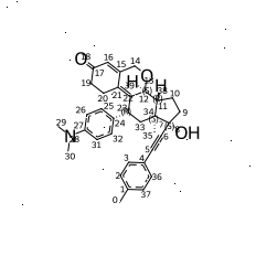 Cc1ccc(C#C[C@]2(O)CC[C@H]3[C@@H]4OCC5=CC(=O)CCC5=C4[C@@H](c4ccc(N(C)C)cc4)C[C@@]32C)cc1